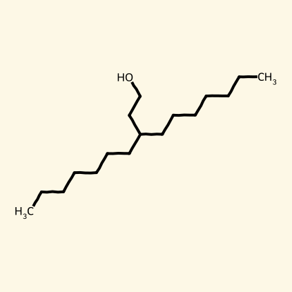 CCCCCCCC(CCO)CCCCCCC